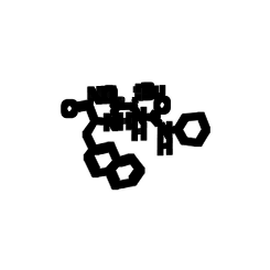 CC(C)(C)[C@H](NC(=O)NC1CCCCC1)C(=O)N[C@@H](Cc1ccc2ccccc2c1)C(N)=O